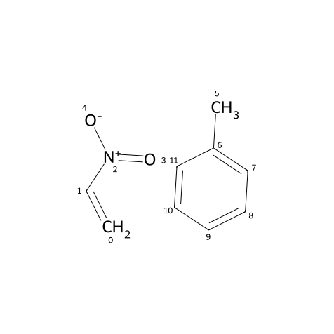 C=C[N+](=O)[O-].Cc1ccccc1